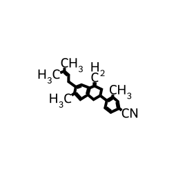 C=C1CC(c2ccc(C#N)cc2C)Cc2cc(C)c(CC=C(C)C)cc21